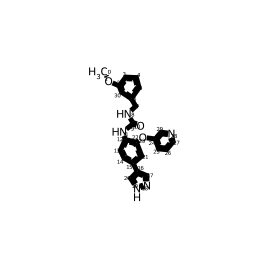 COc1cccc(CNC(=O)Nc2ccc(-c3cn[nH]c3)cc2Oc2cccnc2)c1